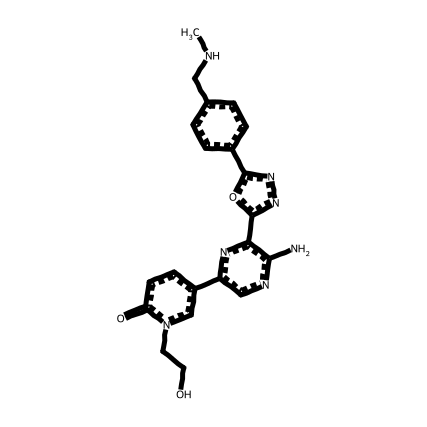 CNCc1ccc(-c2nnc(-c3nc(-c4ccc(=O)n(CCO)c4)cnc3N)o2)cc1